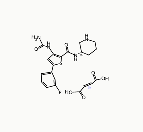 NC(=O)Nc1cc(-c2cccc(F)c2)sc1C(=O)N[C@H]1CCCNC1.O=C(O)/C=C/C(=O)O